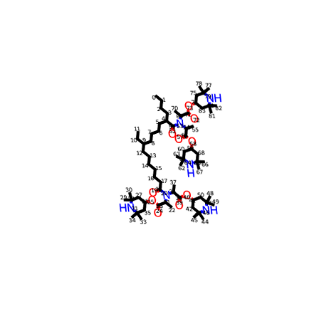 CCCCC(CCCCC(CC)CCCCCCC(=O)N(C(C)C(=O)OC1CC(C)(C)NC(C)(C)C1)C(C)C(=O)OC1CC(C)(C)NC(C)(C)C1)C(=O)N(C(C)C(=O)OC1CC(C)(C)NC(C)(C)C1)C(C)C(=O)OC1CC(C)(C)NC(C)(C)C1